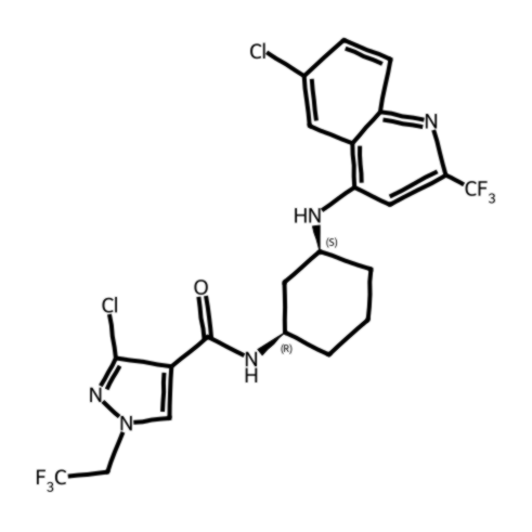 O=C(N[C@@H]1CCC[C@H](Nc2cc(C(F)(F)F)nc3ccc(Cl)cc23)C1)c1cn(CC(F)(F)F)nc1Cl